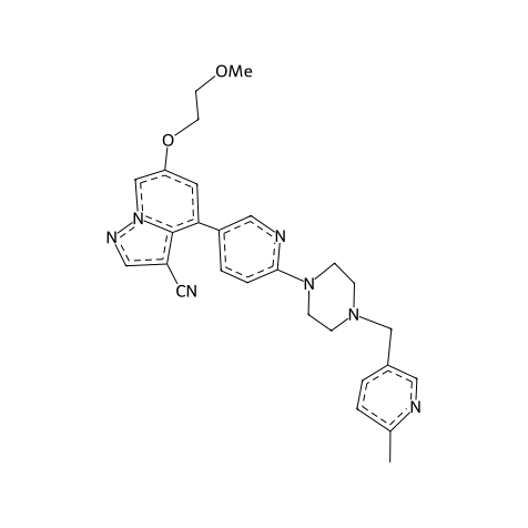 COCCOc1cc(-c2ccc(N3CCN(Cc4ccc(C)nc4)CC3)nc2)c2c(C#N)cnn2c1